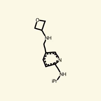 CC(C)Nc1ccc(CNC2COC2)cn1